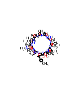 CC[C@@H]1NC(=O)C([C@H](O)C2CC=C2c2ccc(C)cc2)N(C)C(=O)C(C(C)C)N(C)C(=O)[C@H](CC(C)C)N(C)C(=O)[C@H](CC(C)C)N(C)C(=O)[C@@H](C)NC(=O)[C@H](C)NC(=O)[C@H](CC(C)C)N(C)C(=O)C(C(C)C)NC(=O)[C@H](CC(C)C)N(C)C(=O)C(OCCN(C)C)N(C)C1=O